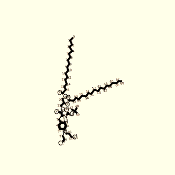 CCCCCCCCCCCCCCCCCC(=O)OCC(COC(=O)[C@H](Cc1ccc(N(CCCl)CCCl)cc1)NC(=O)OC(C)(C)C)OC(=O)CCCCCCCCCCCCCCCCC